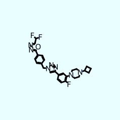 Fc1ccc(-c2cn(Cc3ccc(-c4nnc(C(F)F)o4)cc3)nn2)cc1N1CCN(C2CCC2)CC1